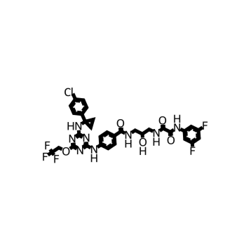 O=C(NCC(O)CNC(=O)c1ccc(Nc2nc(NC3(c4ccc(Cl)cc4)CC3)nc(OCC(F)(F)F)n2)cc1)C(=O)Nc1cc(F)cc(F)c1